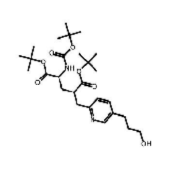 CC(C)(C)OC(=O)N[C@@H](C[C@H](Cc1ccc(CCCO)cn1)C(=O)OC(C)(C)C)C(=O)OC(C)(C)C